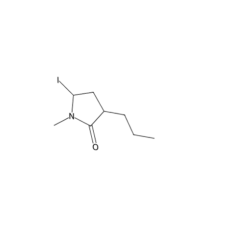 CCCC1CC(I)N(C)C1=O